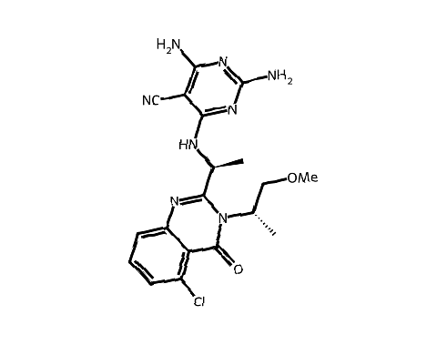 COC[C@H](C)n1c([C@H](C)Nc2nc(N)nc(N)c2C#N)nc2cccc(Cl)c2c1=O